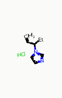 C=CC(CC)n1ccnc1.Cl